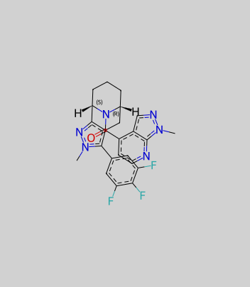 Cn1nc2c(c1-c1cc(F)c(F)c(F)c1)C[C@H]1CCC[C@@H]2N1C(=O)c1ccnc2c1cnn2C